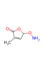 CC1=CC(ON)OC1=O